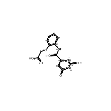 O=C(O)COc1ccccc1NC(=O)c1cc(=O)[nH]c(=O)[nH]1